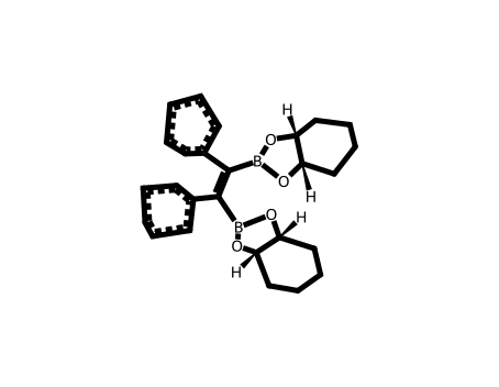 c1ccc(/C(B2O[C@H]3CCCC[C@H]3O2)=C(/B2O[C@H]3CCCC[C@H]3O2)c2ccccc2)cc1